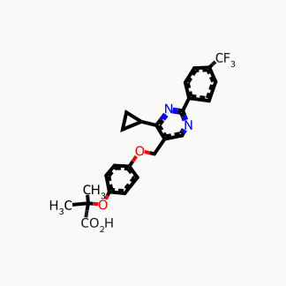 CC(C)(Oc1ccc(OCc2cnc(-c3ccc(C(F)(F)F)cc3)nc2C2CC2)cc1)C(=O)O